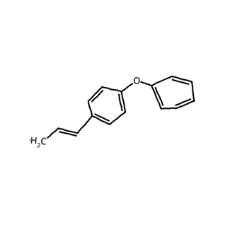 [CH2]C=Cc1ccc(Oc2ccccc2)cc1